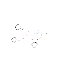 CC(C)(C)OC(=O)c1ncn([C@@H]2O[C@H](COC(=O)c3ccccc3)[C@@H](OC(=O)c3ccccc3)[C@@H]2F)c1N1C(=O)c2ccccc2C1=O